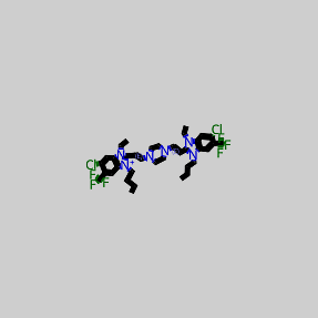 CCCCN1c2cc(C(F)(F)F)c(Cl)cc2N(CC)C1/C=C/N1CCN(/C=C/c2n(CC)c3cc(Cl)c(C(F)(F)F)cc3[n+]2CCCC)CC1